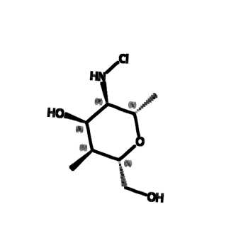 C[C@H]1[C@@H](O)[C@@H](NCl)[C@H](C)O[C@@H]1CO